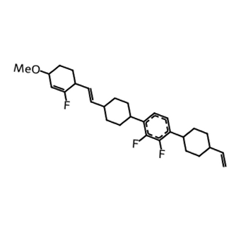 C=CC1CCC(c2ccc(C3CCC(/C=C/C4CCC(OC)C=C4F)CC3)c(F)c2F)CC1